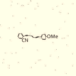 COc1ccc(C#CC=CC#Cc2ccccc2C#N)cc1